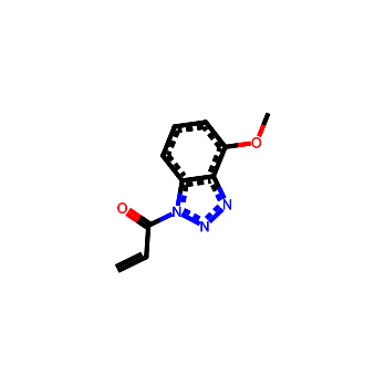 C=CC(=O)n1nnc2c(OC)cccc21